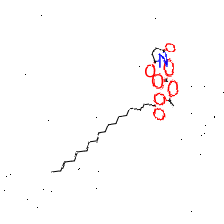 CCCCCCCCCCCCCCCCCC(=O)OC(C)OC(=O)ON1C(=O)CCC1=O